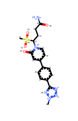 Cn1nnc(-c2ccc(-c3ccn(C(CCC(N)=O)S(C)(=O)=O)c(=O)c3)cc2)n1